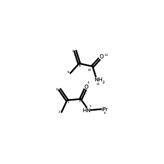 C=C(C)C(=O)NC(C)C.C=C(C)C(N)=O